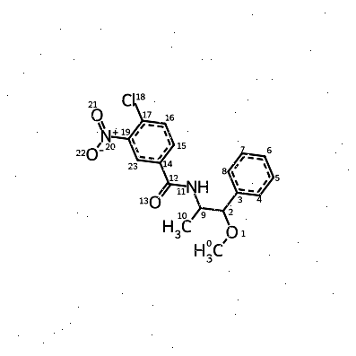 COC(c1ccccc1)C(C)NC(=O)c1ccc(Cl)c([N+](=O)[O-])c1